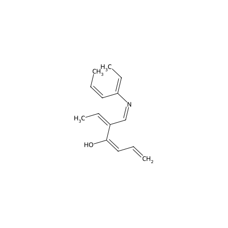 C=C/C=C(/O)C(=CC)\C=N/C(/C=C\C)=C/C